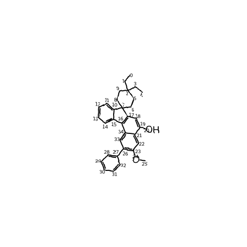 CCC1(CC)CCC2(CC1)c1ccccc1-c1c2cc(O)c2cc(OC)c(-c3ccccc3)cc12